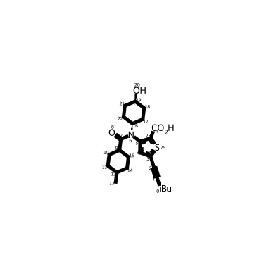 CCC(C)C#Cc1cc(N(C(=O)C2CCC(C)CC2)[C@H]2CC[C@H](O)CC2)c(C(=O)O)s1